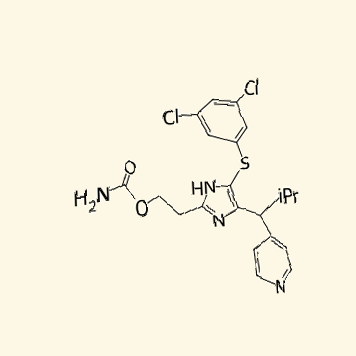 CC(C)C(c1ccncc1)c1nc(CCOC(N)=O)[nH]c1Sc1cc(Cl)cc(Cl)c1